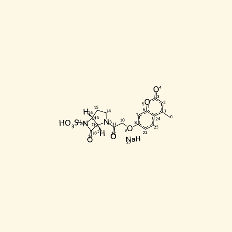 Cc1cc(=O)oc2cc(OCC(=O)N3CC[C@@H]4[C@H]3C(=O)N4S(=O)(=O)O)ccc12.[NaH]